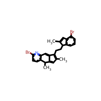 CC1=Cc2c(Br)cccc2C1CCC1=C(C)C=C2C1=Cc1nc(Br)ccc1C2C